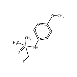 COc1ccc(NS(C)(C)(=O)CI)cc1